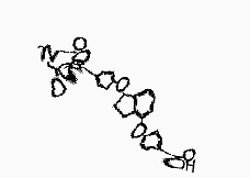 CN1CC(=O)OB(c2ccc(O[C@@H]3CCc4c(Oc5ccc(C(=O)O)cc5)cccc43)cc2)OC(=O)C1